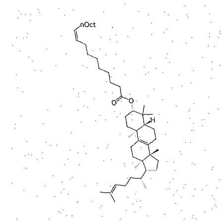 CCCCCCCC/C=C\CCCCCCCC(=O)O[C@H]1CC[C@]2(C)C3=C(CC[C@H]2C1(C)C)[C@]1(C)CC[C@H]([C@H](C)CCC=C(C)C)[C@@]1(C)CC3